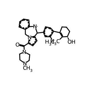 CC1=C(c2ccc(C3[N]c4ccccc4Cn4c(C(=O)N5CCN(C)CC5)ccc43)cc2C)CCC[C@H]1O